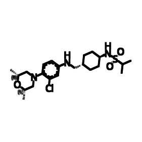 CC(C)S(=O)(=O)N[C@H]1CC[C@H](CNc2ccc(N3C[C@@H](C)O[C@@H](C)C3)c(Cl)c2)CC1